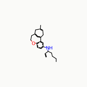 C=CC(CCCC)Nc1ccc2c(c1)C1=C=C(CCO2)CC(C)=CC1